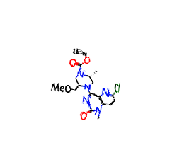 COC[C@H]1CN(C(=O)OC(C)(C)C)[C@H](C)CN1c1nc(=O)n(C)c2ccc(Cl)nc12